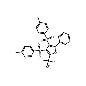 Cc1ccc(S(=O)(=O)c2c(-c3ccccc3)oc(C(F)(F)C(F)(F)F)c2S(=O)(=O)c2ccc(C)cc2)cc1